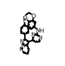 Fc1ccc(-c2nn3ncccc3c2-c2ccnc(Nc3ccc4c(c3)OCCO4)n2)cc1